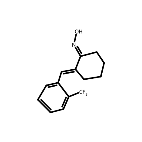 O/N=C1\CCCCC1=Cc1ccccc1C(F)(F)F